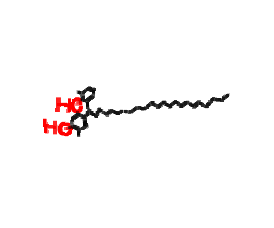 CCCCCCCCCCCCCCCCCCCCCCC(c1ccc(O)c(C)c1)c1cccc(C)c1O